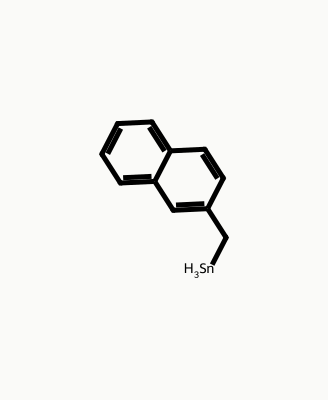 [SnH3][CH2]c1ccc2ccccc2c1